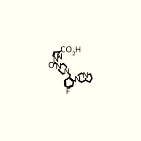 O=C(O)c1ccn(C(=O)N2CCN(Cc3ccc(F)cc3N3CCN4CCCC4C3)CC2)n1